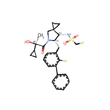 C[C@](O)(C(=O)N1CC2(CC2)[C@H](NS(=O)(=O)CF)[C@@H]1Cc1cccc(-c2ccccc2)c1F)C1CC1